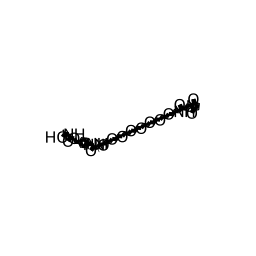 C[C@H](O)NC(=O)OCc1ccc(NC(=O)[C@@H](C)NOCCOCCOCCOCCOCCOCCOCCOCCNC(=O)CCN2C(=O)C=CC2=O)cc1